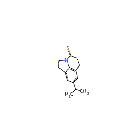 CC(C)c1cc2c3c(c1)CCN3C(=S)CC2